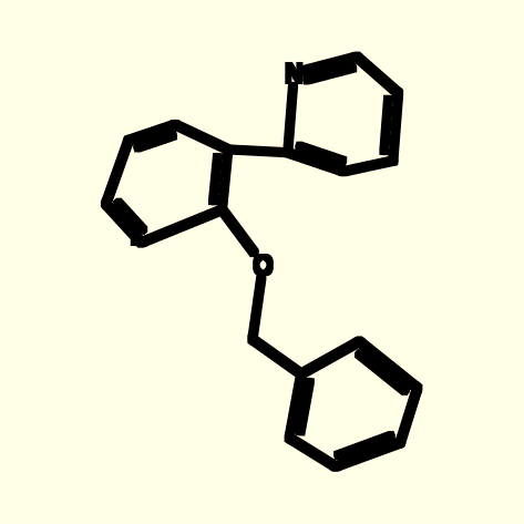 [c]1cccc(-c2ccccn2)c1OCc1ccccc1